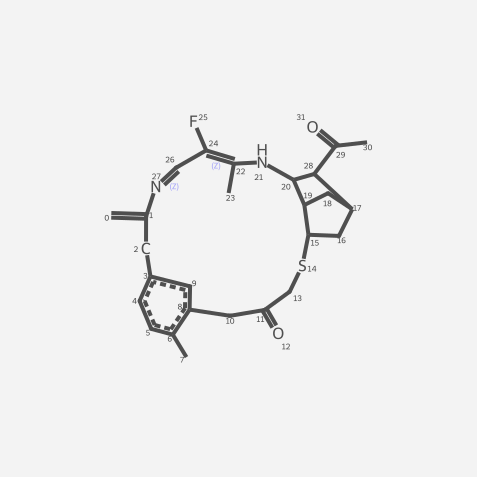 C=C1Cc2ccc(C)c(c2)CC(=O)CSC2CC3CC2C(N/C(C)=C(F)/C=N\1)C3C(C)=O